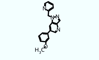 COc1cccc(-c2cnc3cnn(Cc4ccccn4)c3c2)c1